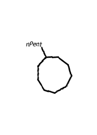 CCCCC[C]1CCCCCCCC1